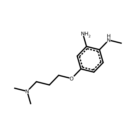 CNc1ccc(OCCCN(C)C)cc1N